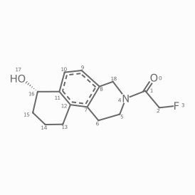 O=C(CF)N1CCc2c(ccc3c2CCC[C@@H]3O)C1